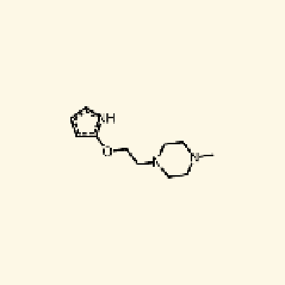 CN1CCN(CCOc2ccc[nH]2)CC1